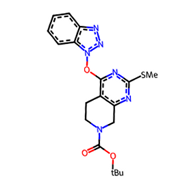 CSc1nc2c(c(On3nnc4ccccc43)n1)CCN(C(=O)OC(C)(C)C)C2